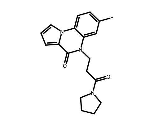 O=C(CCn1c(=O)c2cccn2c2ccc(F)cc21)N1CCCC1